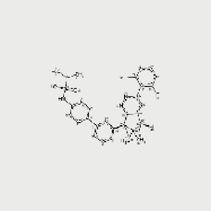 CC(C)S(=O)(=O)Nc1ncc(-c2cccc([C@@]34CC[C@@H](c5cc(-c6c(F)cccc6F)nnc53)C4(C)C)n2)cn1